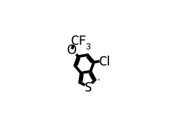 FC(F)(F)Oc1cc(Cl)c2[c]scc2c1